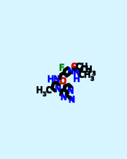 C[C@H]1C[C@@H](NC(=O)CC2CCN(C(=O)NC(C)(C)C)CC2F)CN(c2cnc(C#N)c3ncccc23)C1